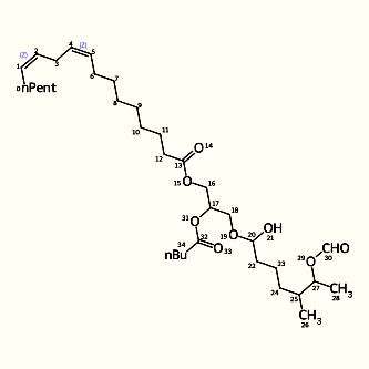 CCCCC/C=C\C/C=C\CCCCCCCC(=O)OCC(COC(O)CCCC(C)C(C)OC=O)OC(=O)CCCC